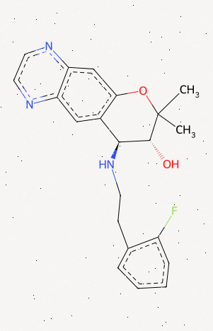 CC1(C)Oc2cc3nccnc3cc2[C@H](NCCc2ccccc2F)[C@H]1O